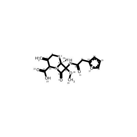 C=C1CS[C@@H]2N(C(=O)C2(NC(=O)Cc2ccco2)OC)C1C(=O)O